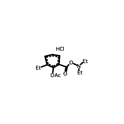 CCc1cccc(C(=O)ON(CC)CC)c1OC(C)=O.Cl